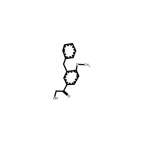 COc1ccc(C(=O)CO)cc1Cc1ccccc1